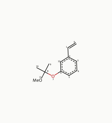 C=Cc1cccc(OC(C)(C)OC)c1